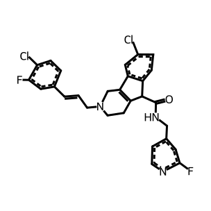 O=C(NCc1ccnc(F)c1)C1C2=C(CN(C/C=C/c3ccc(Cl)c(F)c3)CC2)c2cc(Cl)ccc21